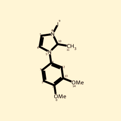 COc1ccc(N2C=CN(I)C2C)cc1OC